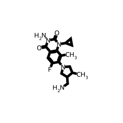 Cc1c(N2CC(C)C(CN)C2)c(F)cc2c(=O)n(N)c(=O)n(C3CC3)c12